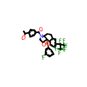 CC(=O)c1ccc(C(=O)N2CCC3(S(=O)(=O)c4cccc(F)c4)c4ccc(C(F)(C(F)(F)F)C(F)(F)F)cc4CCC23)cc1